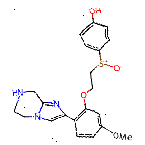 COc1ccc(-c2cn3c(n2)CNCC3)c(OCC[S+]([O-])c2ccc(O)cc2)c1